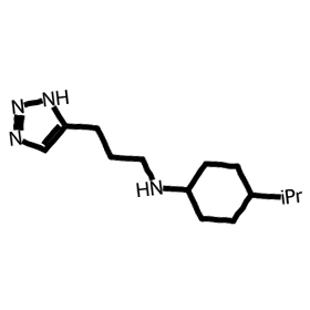 CC(C)C1CCC(NCCCc2cnn[nH]2)CC1